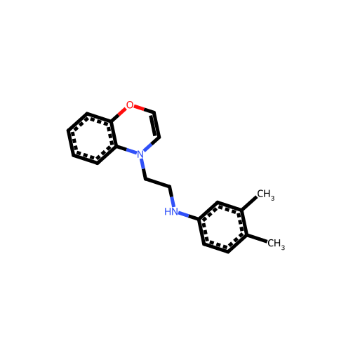 Cc1ccc(NCCN2C=COc3ccccc32)cc1C